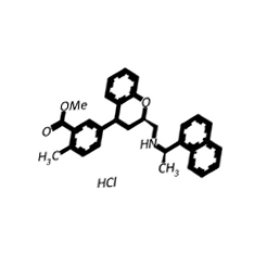 COC(=O)c1cc(C2C[C@H](CN[C@H](C)c3cccc4ccccc34)Oc3ccccc32)ccc1C.Cl